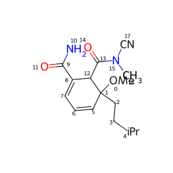 COC1(CCC(C)C)C=CC=C(C(N)=O)C1C(=O)N(C)C#N